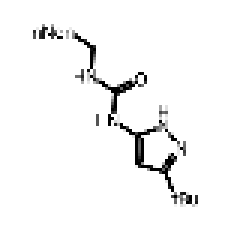 CCCCCCCCCCNC(=O)Nc1cc(C(C)(C)C)n[nH]1